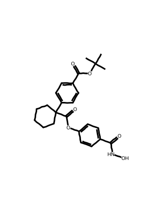 CC(C)(C)OC(=O)c1ccc(C2(C(=O)Oc3ccc(C(=O)NO)cc3)CCCCC2)cc1